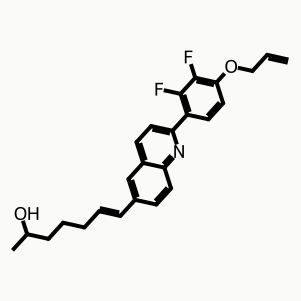 C=CCOc1ccc(-c2ccc3cc(C=CCCCC(C)O)ccc3n2)c(F)c1F